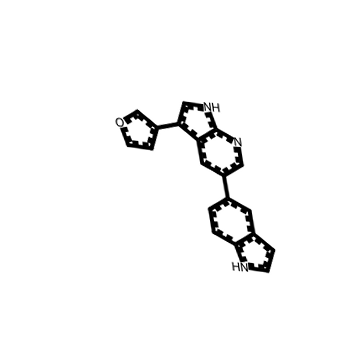 c1cc2cc(-c3cnc4[nH]cc(-c5ccoc5)c4c3)ccc2[nH]1